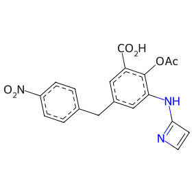 CC(=O)Oc1c(NC2=NC=C2)cc(Cc2ccc([N+](=O)[O-])cc2)cc1C(=O)O